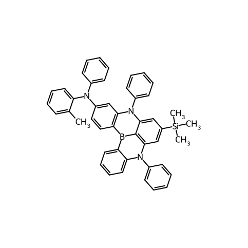 Cc1ccccc1N(c1ccccc1)c1ccc2c(c1)N(c1ccccc1)c1cc([Si](C)(C)C)cc3c1B2c1ccccc1N3c1ccccc1